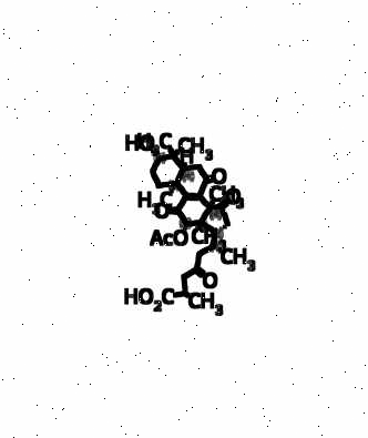 CC(=O)O[C@@H]1C(=O)C2=C(C(=O)C[C@H]3C(C)(C)[C@@H](O)CC[C@]23C)[C@]2(C)C(=O)C[C@H]([C@H](C)CC(=O)CC(C)C(=O)O)[C@@]12C